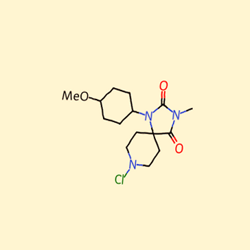 COC1CCC(N2C(=O)N(C)C(=O)C23CCN(Cl)CC3)CC1